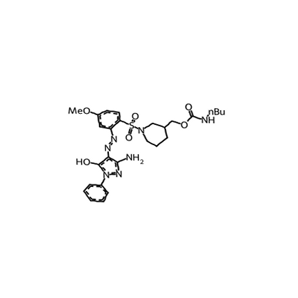 CCCCNC(=O)OCC1CCCN(S(=O)(=O)c2ccc(OC)cc2/N=N/c2c(N)nn(-c3ccccc3)c2O)C1